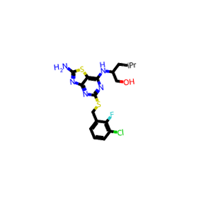 CC(C)CC(CO)Nc1nc(SCc2cccc(Cl)c2F)nc2nc(N)sc12